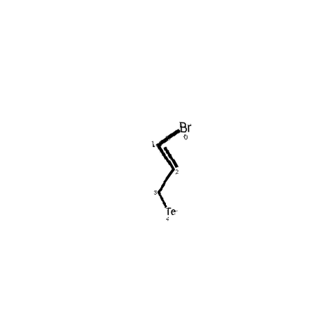 BrC=CC[Te]